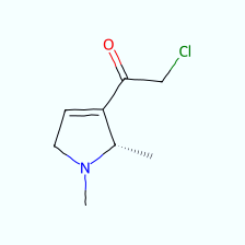 C[C@H]1C(C(=O)CCl)=CCN1C